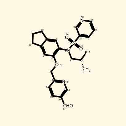 C[C@@H](F)CN(c1cc2c(cc1OCc1ccc(C=O)cn1)CCC2)S(=O)(=O)c1cccnc1